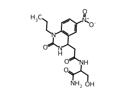 CCCN1C(=O)NC(CC(=O)NC(CO)C(N)=O)c2cc([N+](=O)[O-])ccc21